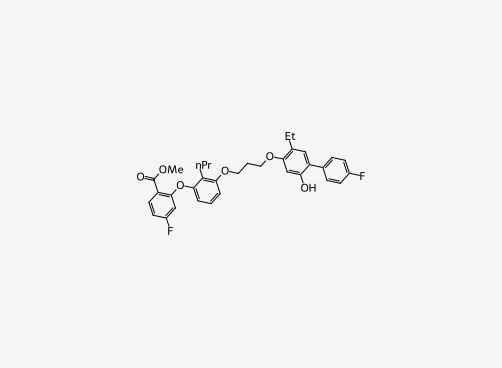 CCCc1c(OCCCOc2cc(O)c(-c3ccc(F)cc3)cc2CC)cccc1Oc1cc(F)ccc1C(=O)OC